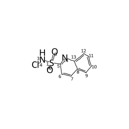 O=S(=O)(NCl)c1ccc2ccccc2n1